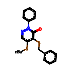 CCCCSc1cnn(-c2ccccc2)c(=O)c1SCc1ccccc1